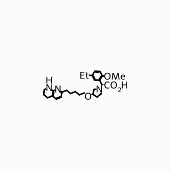 CCc1ccc(OC)c([C@H](C(=O)O)N2CC[C@@H](OCCCCCc3ccc4c(n3)NCCC4)C2)c1